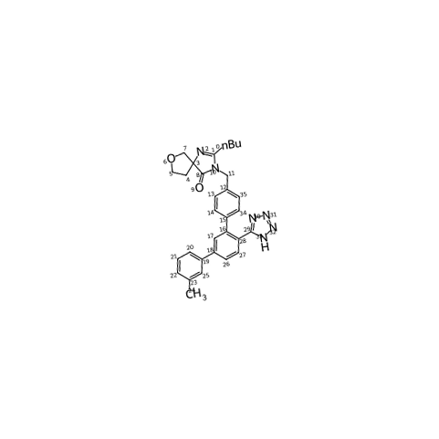 CCCCC1=NC2(CCOC2)C(=O)N1Cc1ccc(-c2cc(-c3cccc(C)c3)ccc2-c2nnn[nH]2)cc1